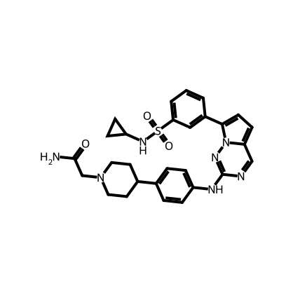 NC(=O)CN1CCC(c2ccc(Nc3ncc4ccc(-c5cccc(S(=O)(=O)NC6CC6)c5)n4n3)cc2)CC1